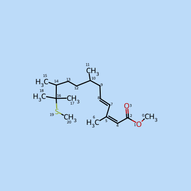 COC(=O)C=C(C)C=CCC(C)CCC(C)C(C)(C)SC